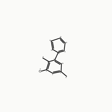 Cc1cc(Cl)c(C)c(-c2ccccc2)c1